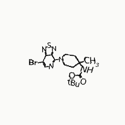 CC1(NC(=O)OC(C)(C)C)CCN(c2ncc(Br)c3nsnc23)CC1